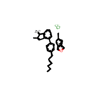 CC1=C2c3cocc3C1[Si]2(C)C.CCCCCCc1ccc(-c2cccc3c2C=C(C)[CH]3[Zr+2])cc1.[Cl-].[Cl-]